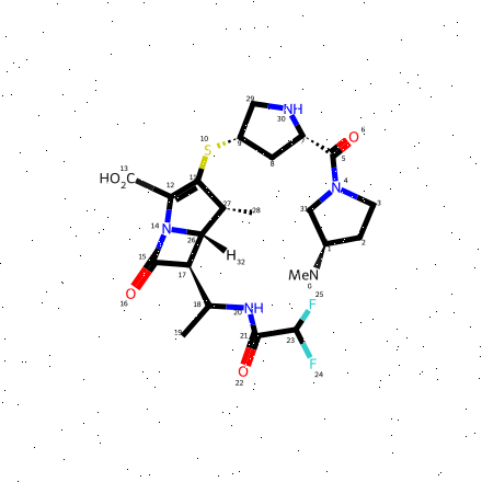 CN[C@@H]1CCN(C(=O)[C@@H]2C[C@H](SC3=C(C(=O)O)N4C(=O)[C@H](C(C)NC(=O)C(F)F)[C@H]4[C@H]3C)CN2)C1